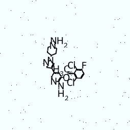 C[C@@H](Oc1cc(-c2cnn(C3CCN(N)CC3)c2)cnc1N)c1c(Cl)ccc(F)c1Cl